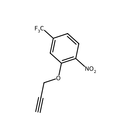 C#CCOc1cc(C(F)(F)F)ccc1[N+](=O)[O-]